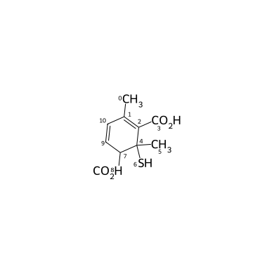 CC1=C(C(=O)O)C(C)(S)C(C(=O)O)C=C1